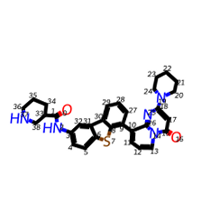 O=C(Nc1ccc2sc3c(-c4cccn5c(=O)cc(N6CCCCC6)nc45)cccc3c2c1)C1CCCNC1